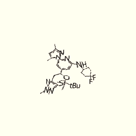 Cc1cc(C)n(-c2cc(C(Cc3cnn(C)n3)O[Si](C)(C)C(C)(C)C)cc(NC3CCC(F)(F)CC3)n2)n1